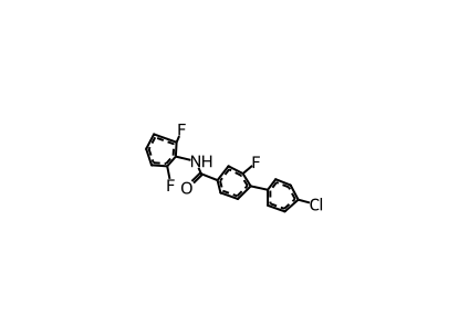 O=C(Nc1c(F)cccc1F)c1ccc(-c2ccc(Cl)cc2)c(F)c1